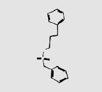 O=S(=O)(Cc1ccccc1)OCCCc1ccccc1